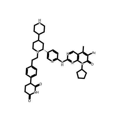 CC(=O)c1c(C)c2cnc(Nc3ccc([C@H]4CC(C5CCNCC5)CCN4CCc4ccc(C5CCC(=O)NC5=O)cc4)cn3)nc2n(C2CCCC2)c1=O